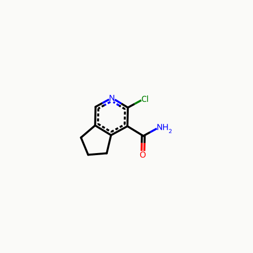 NC(=O)c1c(Cl)ncc2c1CCC2